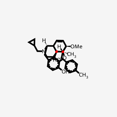 CO[C@]12C=C[C@@]3(C[C@]1(C)[C@H](O)c1ccc(C)cc1)[C@H]1Cc4ccc(O)c5c4[C@@]3(CCN1CC1CC1)[C@H]2O5